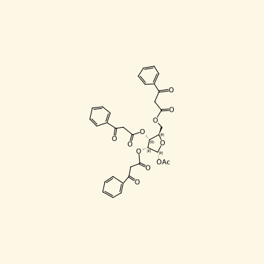 CC(=O)O[C@H]1O[C@H](COC(=O)CC(=O)c2ccccc2)[C@@H](OC(=O)CC(=O)c2ccccc2)[C@H]1OC(=O)CC(=O)c1ccccc1